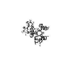 C1=CSC(=C2SC=CS2)S1.Cc1c([N+](=O)[O-])cc([N+](=O)[O-])cc1[N+](=O)[O-]